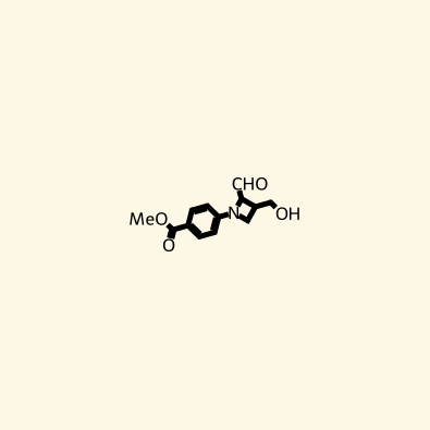 COC(=O)c1ccc(N2CC(CO)C2C=O)cc1